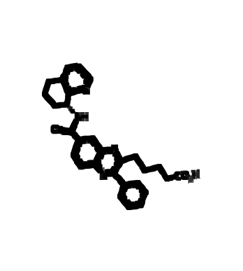 O=C(O)CCCCc1nc2cc(C(=O)N[C@@H]3CCCc4cccnc43)ccc2nc1-c1ccccc1